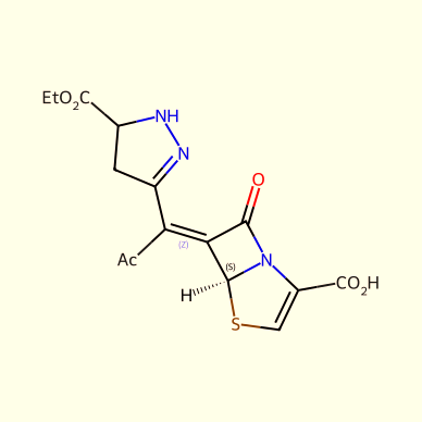 CCOC(=O)C1CC(/C(C(C)=O)=C2\C(=O)N3C(C(=O)O)=CS[C@@H]23)=NN1